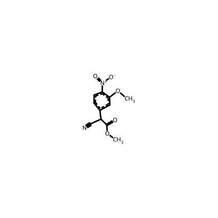 COC(=O)C(C#N)c1ccc([N+](=O)[O-])c(OC)c1